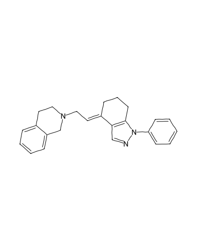 C(CN1CCc2ccccc2C1)=C1CCCc2c1cnn2-c1ccccc1